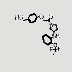 O=C(COc1ccc(CO)cc1)N1CCC(Nc2ccccc2OC(F)(F)F)C1